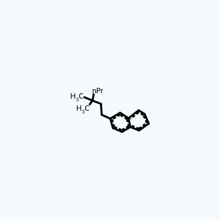 [CH2]CCC(C)(C)CCc1ccc2ccccc2c1